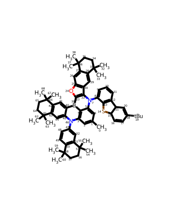 Cc1cc2c3c(c1)N(c1cccc4c1SC1C=CC(C(C)(C)C)=CC41)c1c(oc4cc5c(cc14)C(C)(C)CCC5(C)C)B3c1cc3c(cc1N2c1ccc2c(c1)C(C)(C)CCC2(C)C)C(C)(C)CCC3(C)C